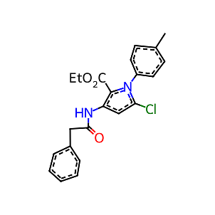 CCOC(=O)c1c(NC(=O)Cc2ccccc2)cc(Cl)n1-c1ccc(C)cc1